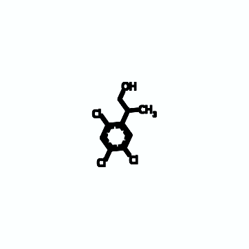 C[C](CO)c1cc(Cl)c(Cl)cc1Cl